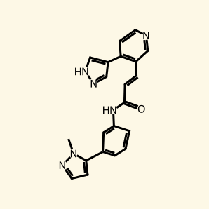 Cn1nccc1-c1cccc(NC(=O)/C=C/c2cnccc2-c2cn[nH]c2)c1